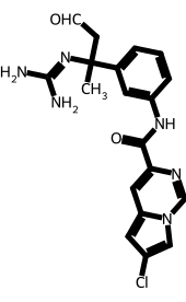 CC(CC=O)(N=C(N)N)c1cccc(NC(=O)c2cc3cc(Cl)cn3cn2)c1